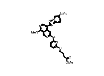 CNc1ccc2nc(-c3cnc(NC)c4cnc(Nc5cccc(OCCCC(=O)OC)n5)cc34)nn2c1